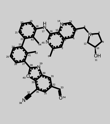 Cc1cc2cc(CN3CC[C@@H](O)C3)cnc2c(Nc2cccc(-c3cccc(-c4nc5cc(C=O)cc(C#N)c5o4)c3C)c2C)n1